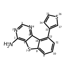 Nc1ncnc2c1sc1cccc(-c3ccsc3)c12